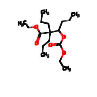 CCCC(OC(=O)OCC)C(CCC)(CCC)C(=O)OCC